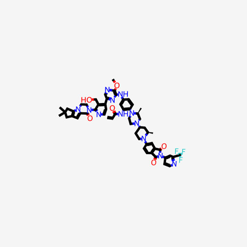 C=CC(=O)Nc1cc(Nc2nc(-c3ccnc(N4CCn5c(cc6c5CC(C)(C)C6)C4=O)c3CO)cnc2OC)ccc1N1CCN(C2CCN(c3ccc4c(c3)C(=O)N(c3ccnc(C(F)(F)F)c3)C4=O)[C@H](C)C2)C[C@@H]1C